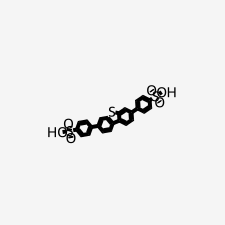 O=S(=O)(O)c1ccc(-c2ccc3c(c2)sc2cc(-c4ccc(S(=O)(=O)O)cc4)ccc23)cc1